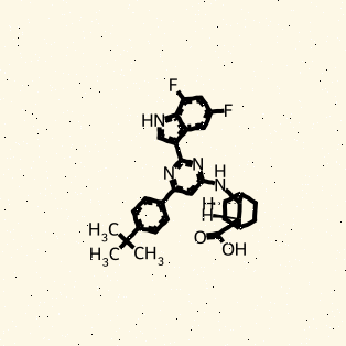 CC(C)(C)c1ccc(-c2cc(N[C@H]3C4CCC(CC4)[C@@H]3C(=O)O)nc(-c3c[nH]c4c(F)cc(F)cc34)n2)cc1